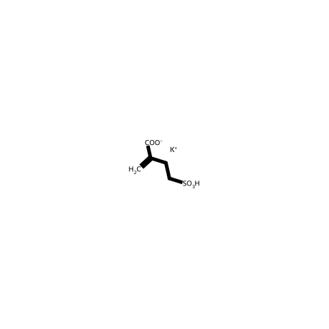 C=C(CCS(=O)(=O)O)C(=O)[O-].[K+]